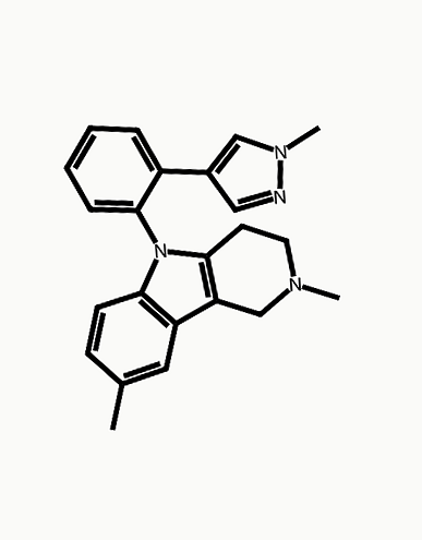 Cc1ccc2c(c1)c1c(n2-c2ccccc2-c2cnn(C)c2)CCN(C)C1